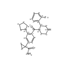 NC(=O)C1(c2ccc(C(=O)N3CCNCC3c3ccccc3F)c(N3CCCC3)c2)CC1